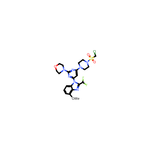 COc1cccc2c1nc(C(F)F)n2-c1cc(N2CCN(S(=O)(=O)CCl)CC2)nc(N2CCOCC2)n1